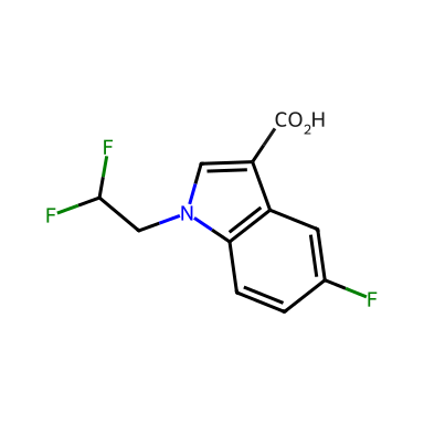 O=C(O)c1cn(CC(F)F)c2ccc(F)cc12